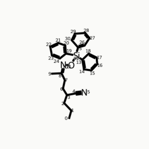 CCCC(C#N)CCC(C)=NO[Si](c1ccccc1)(c1ccccc1)c1ccccc1